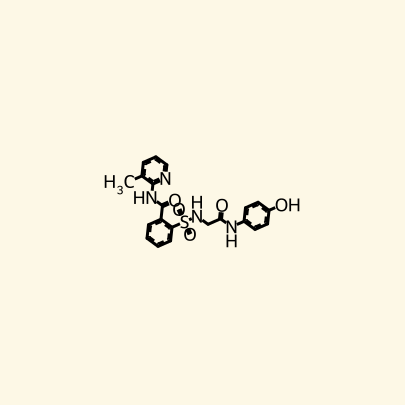 Cc1cccnc1NC(=O)c1ccccc1S(=O)(=O)NCC(=O)Nc1ccc(O)cc1